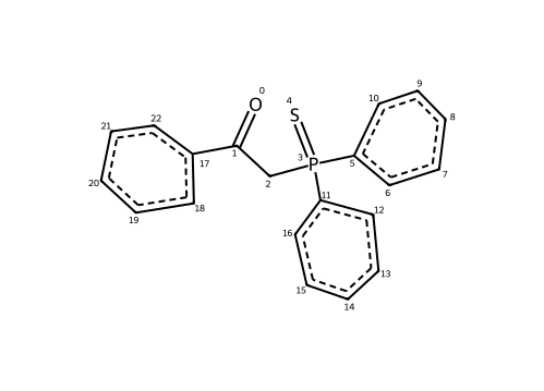 O=C(CP(=S)(c1ccccc1)c1ccccc1)c1ccccc1